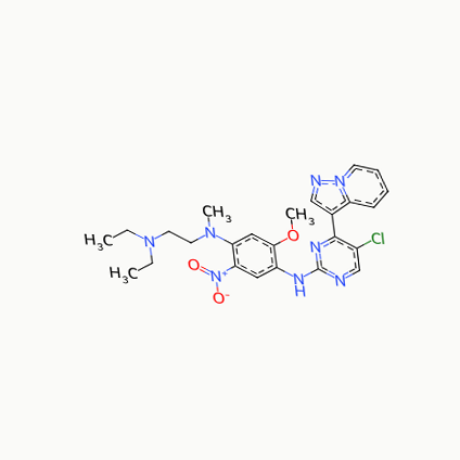 CCN(CC)CCN(C)c1cc(OC)c(Nc2ncc(Cl)c(-c3cnn4ccccc34)n2)cc1[N+](=O)[O-]